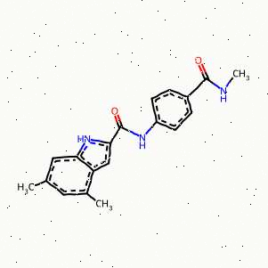 CNC(=O)c1ccc(NC(=O)c2cc3c(C)cc(C)cc3[nH]2)cc1